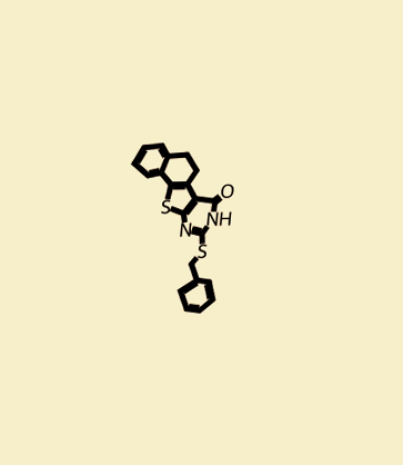 O=c1[nH]c(SCc2ccccc2)nc2sc3c(c12)CCc1ccccc1-3